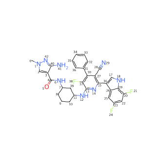 Cn1cc(C(=O)NC2CCCC(Nc3nc(-c4c[nH]c5c(F)cc(F)cc45)c(C#N)c(-c4ccccc4)c3F)C2)c(N)n1